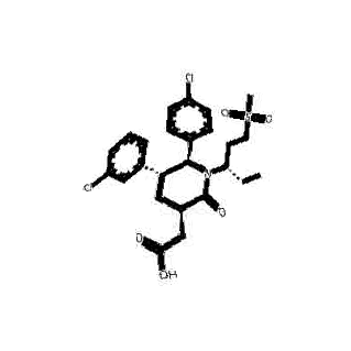 CC[C@@H](CCS(C)(=O)=O)N1C(=O)[C@@H](CC(=O)O)C[C@H](c2cccc(Cl)c2)[C@H]1c1ccc(Cl)cc1